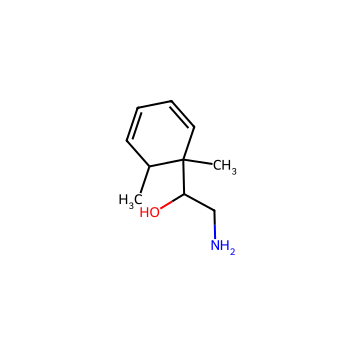 CC1C=CC=CC1(C)C(O)CN